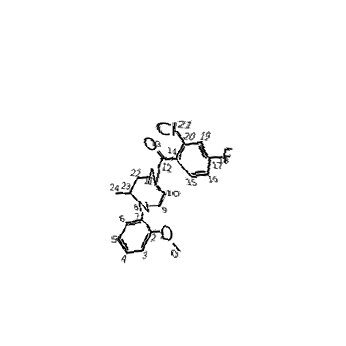 COc1ccccc1N1CCN(C(=O)c2ccc(F)cc2Cl)CC1C